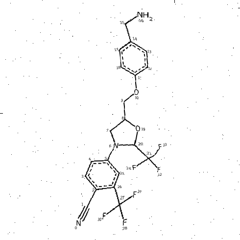 N#Cc1ccc(N2CC(COc3ccc(CN)cc3)OC2C(F)(F)F)cc1C(F)(F)F